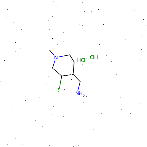 CN1CCC(CN)C(F)C1.Cl.Cl